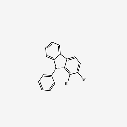 Brc1ccc2c3ccccc3n(-c3ccccc3)c2c1Br